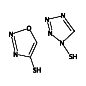 Sc1conn1.Sn1cnnn1